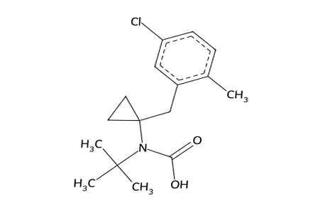 Cc1ccc(Cl)cc1CC1(N(C(=O)O)C(C)(C)C)CC1